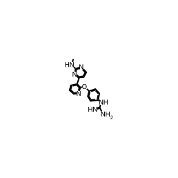 CNc1nccc(-c2cccnc2Oc2ccc(NC(=N)N)cc2)n1